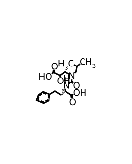 CC(C)CN(CC(O)C(=O)O)C(=O)N[C@@H](CCc1ccccc1)C(=O)O